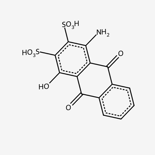 Nc1c2c(c(O)c(S(=O)(=O)O)c1S(=O)(=O)O)C(=O)c1ccccc1C2=O